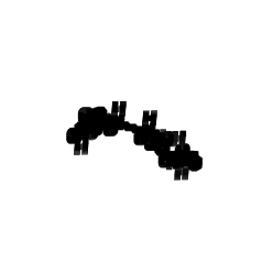 CN(CCNC(=O)CCCCCCNC(=O)COc1cccc2c1C(=O)N(C1CCC(=O)NC1=O)C2=O)C(=O)c1ccc(/C(O)=C/C(=N)C(=O)NC2CCc3ccccc32)cc1O